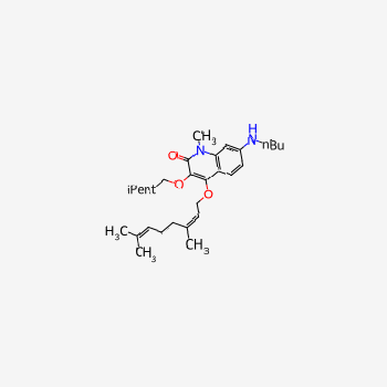 CCCCNc1ccc2c(OCC=C(C)CCC=C(C)C)c(OCC(C)CCC)c(=O)n(C)c2c1